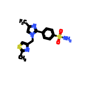 Cc1nc(Cn2cc(C(F)(F)F)nc2-c2ccc(S(N)(=O)=O)cc2)cs1